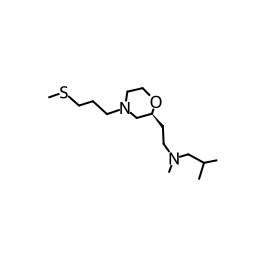 CSCCCN1CCO[C@@H](CCN(C)CC(C)C)C1